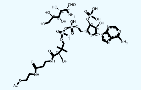 CC(=O)SCCNC(=O)CCNC(=O)[C@H](O)C(C)(C)COP(=O)(O)OP(=O)(O)OC[C@H]1O[C@@H](n2cnc3c(N)ncnc32)[C@H](O)[C@@H]1OP(=O)(O)O.N[C@@H](C=O)[C@@H](O)[C@H](O)[C@H](O)CO